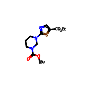 CCOC(=O)c1cnc(N2CCCN(C(=O)OC(C)(C)C)C2)s1